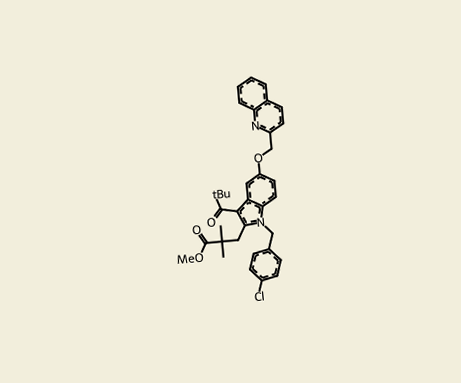 COC(=O)C(C)(C)Cc1c(C(=O)C(C)(C)C)c2cc(OCc3ccc4ccccc4n3)ccc2n1Cc1ccc(Cl)cc1